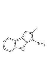 Cc1cc2c3ccccc3oc2n1N